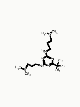 CN(C)CCCNc1nc(NCCCN(C)C)nc(C(C)(C)C)n1